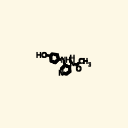 CC(=O)Nc1ccncc1Nc1ccc(O)cc1